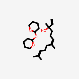 C1CCC(OC2CCCCO2)OC1.C=CC(C)(O)CCC=C(C)CCC=C(C)C